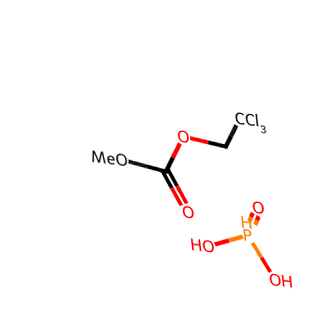 COC(=O)OCC(Cl)(Cl)Cl.O=[PH](O)O